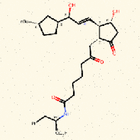 CCCC[C@H]1CC[C@H]([C@@H](O)/C=C/[C@H]2[C@H](O)CC(=O)[C@@H]2CC(=O)CCCCC(=O)N[C@H](CC(C)C)C(=O)O)C1